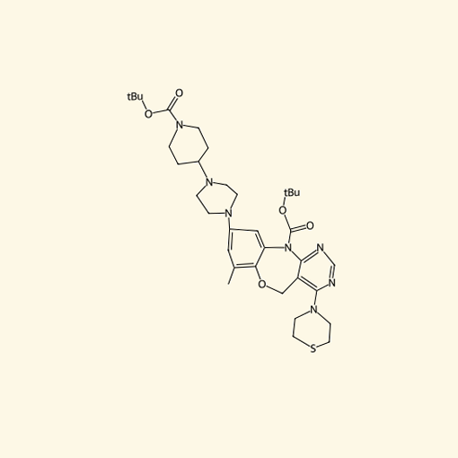 Cc1cc(N2CCN(C3CCN(C(=O)OC(C)(C)C)CC3)CC2)cc2c1OCc1c(N3CCSCC3)ncnc1N2C(=O)OC(C)(C)C